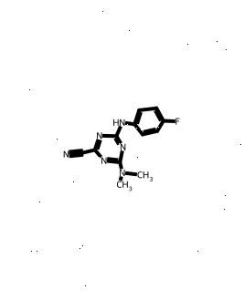 CN(C)c1nc(C#N)nc(Nc2ccc(F)cc2)n1